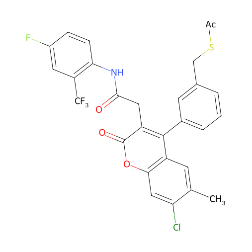 CC(=O)SCc1cccc(-c2c(CC(=O)Nc3ccc(F)cc3C(F)(F)F)c(=O)oc3cc(Cl)c(C)cc23)c1